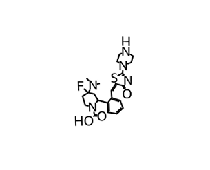 CN(C)C1(F)CCN(C(=O)O)C(c2ccccc2C=C2SC(N3CCNCC3)=NC2=O)C1